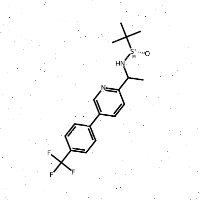 CC(N[S@@+]([O-])C(C)(C)C)c1ccc(-c2ccc(C(F)(F)F)cc2)cn1